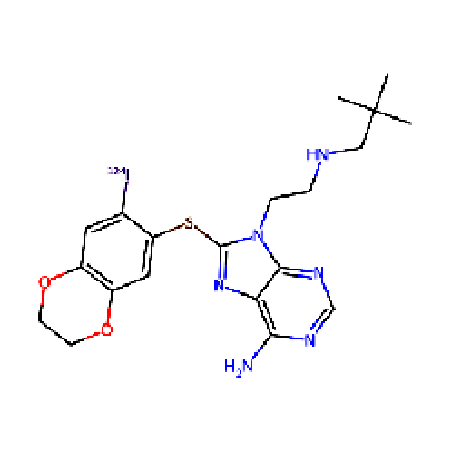 CC(C)(C)CNCCn1c(Sc2cc3c(cc2[124I])OCCO3)nc2c(N)ncnc21